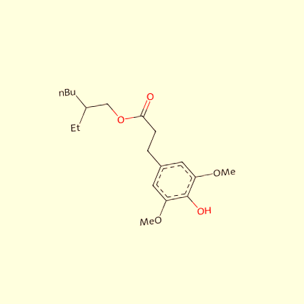 CCCCC(CC)COC(=O)CCc1cc(OC)c(O)c(OC)c1